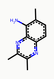 Cc1ccc2nc(C)c(C)nc2c1N